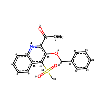 COC(=O)c1nc2ccccc2c(S(C)(=O)=O)c1OCc1ccccc1